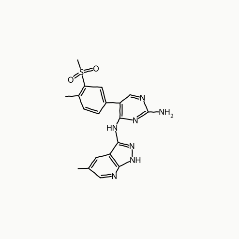 Cc1cnc2[nH]nc(Nc3nc(N)ncc3-c3ccc(C)c(S(C)(=O)=O)c3)c2c1